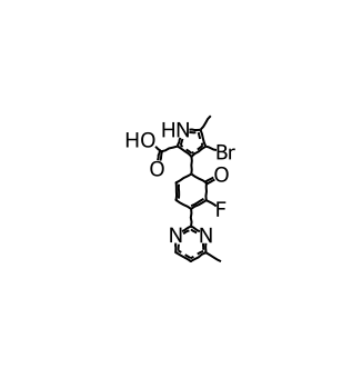 Cc1ccnc(C2=C(F)C(=O)C(c3c(C(=O)O)[nH]c(C)c3Br)C=C2)n1